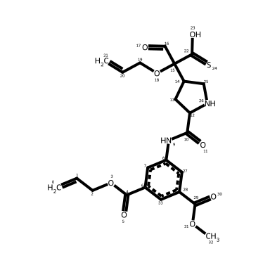 C=CCOC(=O)c1cc(NC(=O)C2CC(C(C=O)(OCC=C)C(O)=S)CN2)cc(C(=O)OC)c1